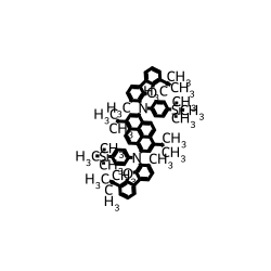 Cc1ccc2c(oc3c(C(C)(C)C)cccc32)c1N(c1ccc([Si](C)(C)C)cc1)c1cc(C(C)C)c2ccc3c(N(c4ccc([Si](C)(C)C)cc4)c4c(C)ccc5c4oc4c(C(C)(C)C)cccc45)cc(C(C)C)c4ccc1c2c43